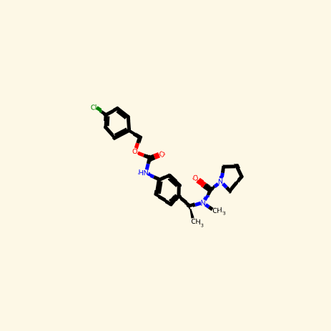 C[C@@H](c1ccc(NC(=O)OCc2ccc(Cl)cc2)cc1)N(C)C(=O)N1CCCC1